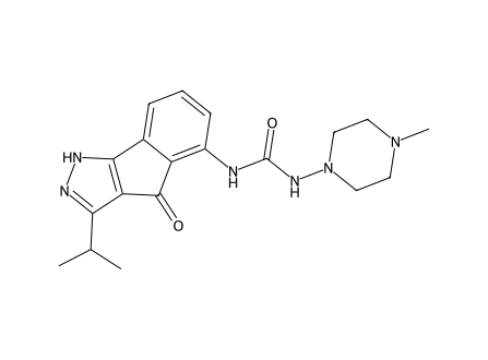 CC(C)c1n[nH]c2c1C(=O)c1c(NC(=O)NN3CCN(C)CC3)cccc1-2